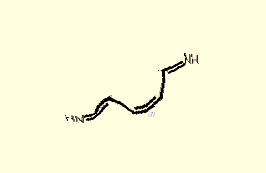 N=[C]/C=C\[C]=N